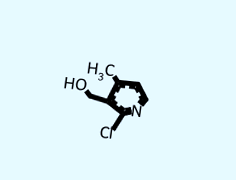 Cc1ccnc(Cl)c1CO